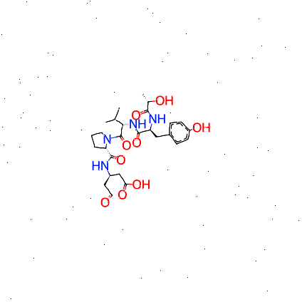 CC(C)[C@H](NC(=O)[C@H](Cc1ccc(O)cc1)NC(=O)[C@H](C)O)C(=O)N1CCC[C@H]1C(=O)N[C@H](CC=O)CC(=O)O